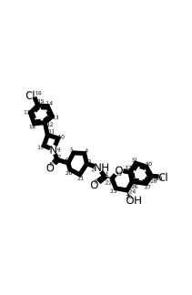 O=C(NC1CCC(C(=O)N2CC(c3ccc(Cl)cc3)C2)CC1)[C@H]1C[C@@H](O)c2cc(Cl)ccc2O1